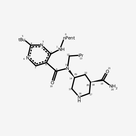 CCCCCNc1nc(C(C)(C)C)ncc1C(=O)N(CC(C)C)[C@@H]1CNC[C@H](C(N)=O)C1